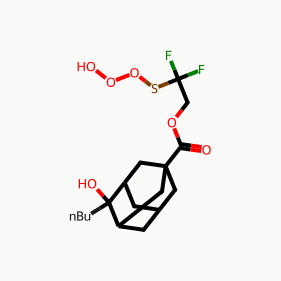 CCCCC1(O)C2CC3CC1CC(C(=O)OCC(F)(F)SOOO)(C3)C2